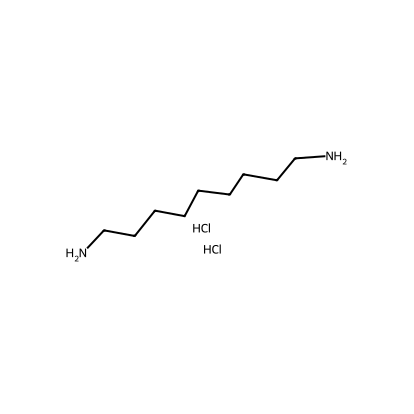 Cl.Cl.NCCCCCCCCCN